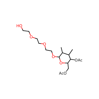 CC(=O)OCC1OC(OCCOCCOCCO)C(C)C(C)C1OC(C)=O